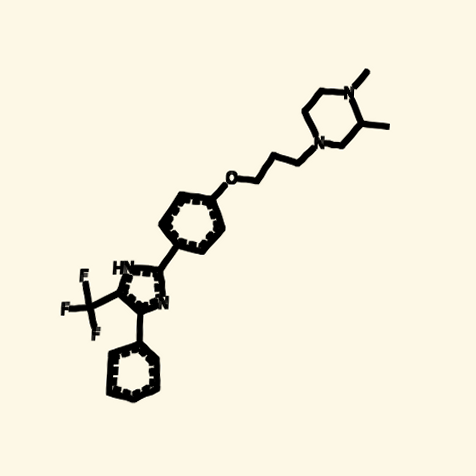 CC1CN(CCCOc2ccc(-c3nc(-c4ccccc4)c(C(F)(F)F)[nH]3)cc2)CCN1C